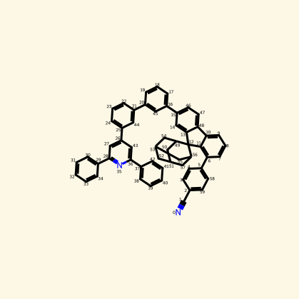 N#Cc1ccc(-c2cccc3c2C2(c4cc(-c5cccc(-c6cccc(-c7cc(-c8ccccc8)nc(-c8ccccc8)c7)c6)c5)ccc4-3)C3CC4CC(C3)CC2C4)cc1